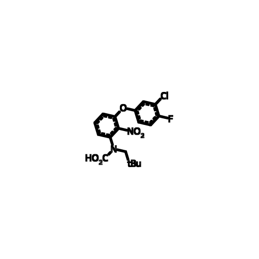 CC(C)(C)CN(C(=O)O)c1cccc(Oc2ccc(F)c(Cl)c2)c1[N+](=O)[O-]